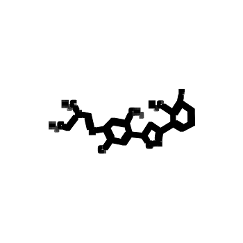 CCN(C)C=Nc1cc(C)c(C2CC(c3cccc(F)c3C)=NO2)cc1Cl